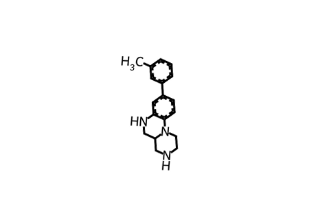 Cc1cccc(-c2ccc3c(c2)NCC2CNCCN32)c1